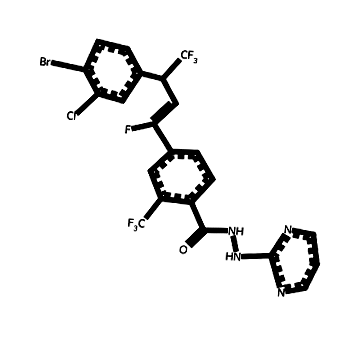 O=C(NNc1ncccn1)c1ccc(C(F)=CC(c2ccc(Br)c(Cl)c2)C(F)(F)F)cc1C(F)(F)F